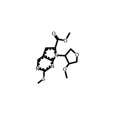 COC(=O)c1cc2cnc(SC)nc2n1C1COCC1OC